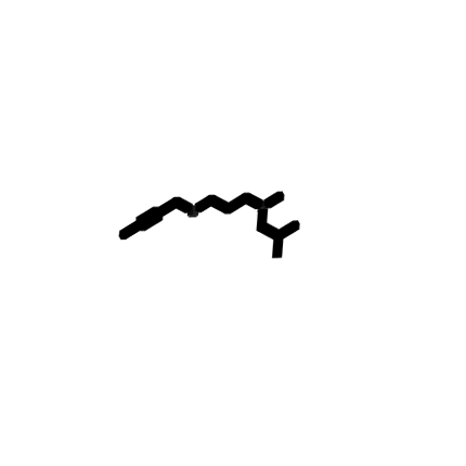 CC#CCOCCCN(C)CC(C)C